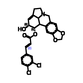 O=C(/C=C/c1ccc(Cl)c(Cl)c1)O[C@H]1C2c3cc4c(cc3CN3CCC(=C[C@@H]1O)C23)OCO4